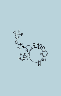 CC1(C)CC2CCNNc3cccc(n3)S(=O)(=O)NC(=O)c3ccc(-n4ccc(OCCC5(C(F)(F)F)CC5)n4)nc3N1C2